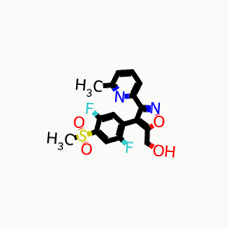 Cc1cccc(-c2noc(CO)c2-c2cc(F)c(S(C)(=O)=O)cc2F)n1